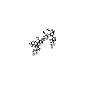 Cc1c(F)ccc(Sc2cc(-c3cnn(C4CCN(C)CC4)c3C)cn3nc(COc4ccc(Sc5cc(-c6cnn(C7CCN(C)CC7)c6C)cn6ncc(C#N)c56)c(C#N)c4)c(C#N)c23)c1C#N